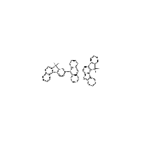 CC1(C)c2cc(-c3c4ccccc4c(-c4cc5c(c6c4sc4ccccc46)C(C)(C)c4ccccc4-5)c4ccccc34)ccc2-c2c1ccc1ccccc21